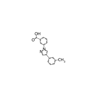 Cc1cccc(-c2cnn(-c3cccc(C(=O)O)c3)c2)c1